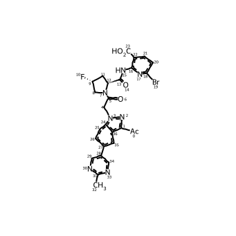 CC(=O)c1nn(CC(=O)N2C[C@H](F)C[C@H]2C(=O)Nc2nc(Br)ccc2C(=O)O)c2ccc(-c3cnc(C)nc3)cc12